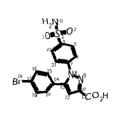 NS(=O)(=O)c1ccc(-n2nc(C(=O)O)cc2-c2ccc(Br)cc2)cc1